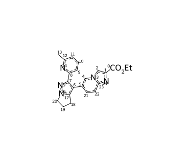 CCOC(=O)c1cn2cc(-c3c(-c4cccc(C)n4)nn4c3CCC4)ccc2n1